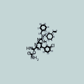 C=C[C@H]1CC[C@H](Cn2c(N(C)Cc3ccccc3)nc3nc(C(=N)OC(N)=O)nc(-c4cccc(Cl)c4)c32)CC1